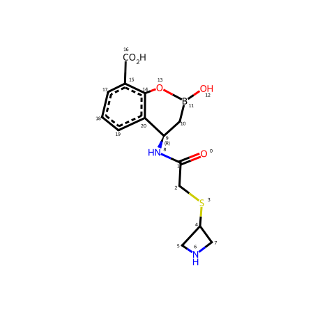 O=C(CSC1CNC1)N[C@@H]1CB(O)Oc2c(C(=O)O)cccc21